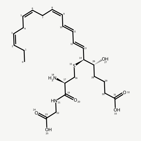 CC/C=C\C/C=C\C\C=C/C=C/C=C/[C@H](SC[C@H](N)C(=O)NCC(=O)O)[C@H](O)CCCC(=O)O